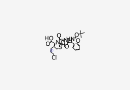 CC(C)(C)OC(=O)NC(C(=O)N[C@@H]1C(=O)N2C(C(=O)O)=C(/C=C\CCl)CS[C@H]12)c1ccccc1